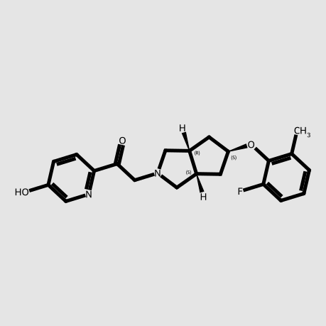 Cc1cccc(F)c1O[C@H]1C[C@@H]2CN(CC(=O)c3ccc(O)cn3)C[C@@H]2C1